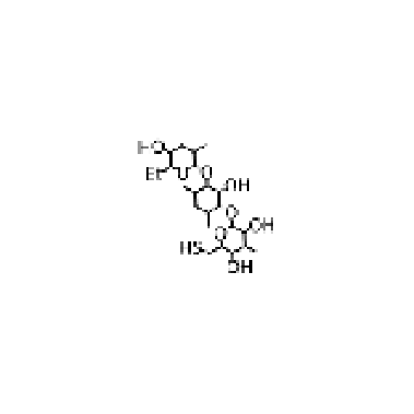 CCC1OC(OC2C(C)CC(C)[C@@H](OC3OC(CS)C(O)C(C)C3O)C2O)C(C)CC1O